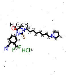 CC1(C)C(=O)N(c2ccc(C#N)c(C(F)F)c2)C(=S)N1CCCCCCCCN1CCCC1.Cl